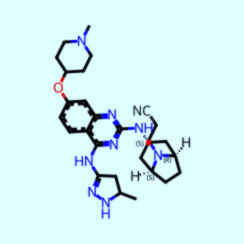 CC1CC(Nc2nc(N[C@@H]3C[C@H]4CC[C@@H](C3)N4CCC#N)nc3cc(OC4CCN(C)CC4)ccc23)=NN1